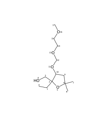 CCC1(CO)OC(C)(C)CC1OCOCCOC